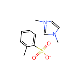 Cc1ccccc1S(=O)(=O)[O-].Cn1cc[n+](C)c1